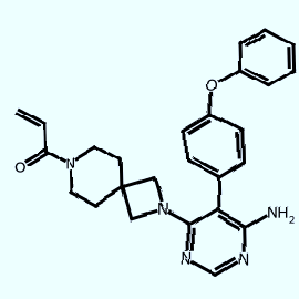 C=CC(=O)N1CCC2(CC1)CN(c1ncnc(N)c1-c1ccc(Oc3ccccc3)cc1)C2